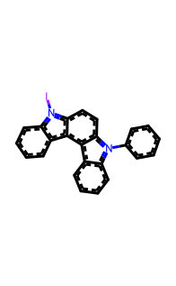 In1c2ccccc2c2c3c4ccccc4n(-c4ccccc4)c3ccc21